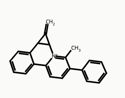 C=C1C2c3ccccc3-c3ccc(-c4ccccc4)c(C)[n+]3C12